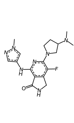 CN(C)C1CCN(c2nc(Nc3cnn(C)c3)c3c(c2F)CNC3=O)C1